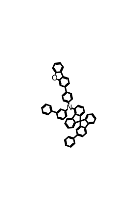 c1ccc(-c2cccc(N(c3ccc(-c4ccc5c(c4)oc4ccccc45)cc3)c3cccc4c3-c3ccccc3C43c4ccccc4-c4ccc(-c5ccccc5)cc43)c2)cc1